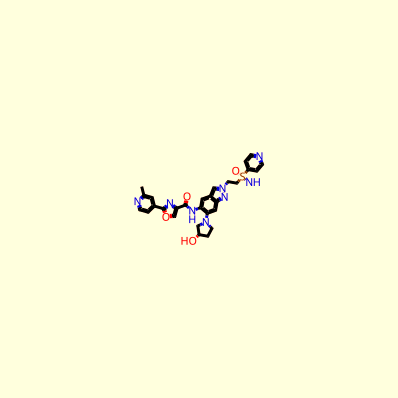 Cc1cc(-c2nc(C(=O)Nc3cc4cn(CCS(=N)(=O)c5ccncc5)nc4cc3N3CCC(O)C3)co2)ccn1